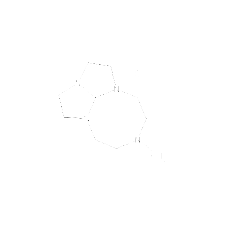 C=[N+]1CCN2CCN3CCN(CC1)C32.[Cl-]